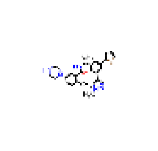 Cc1ccc(N2CCNCC2)cc1C(=O)N[C@H](C)c1cc(-c2cnn(C)c2)cc(-c2cccs2)c1